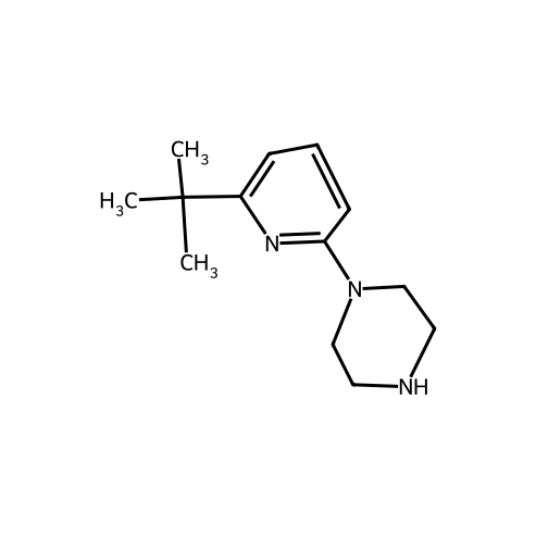 CC(C)(C)c1cccc(N2CCNCC2)n1